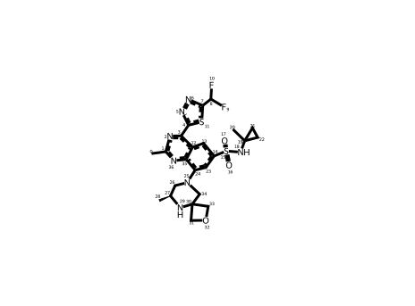 Cc1nc(-c2nnc(C(F)F)s2)c2cc(S(=O)(=O)NC3(C)CC3)cc(N3C[C@H](C)NC4(COC4)C3)c2n1